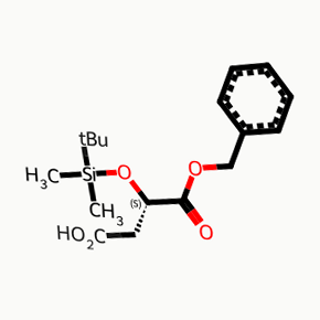 CC(C)(C)[Si](C)(C)O[C@@H](CC(=O)O)C(=O)OCc1ccccc1